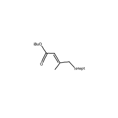 CCCCCCCC/C(C)=C/C(=O)OCC(C)C